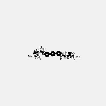 COC(=O)N(C)C1(C(=O)NC(c2nc3ccc(-c4ccc(-c5ccc6nc([C@H](C)NC(=O)C7(N(C)C(=O)OC)CC7)[nH]c6c5)cc4)cc3[nH]2)C(C)(C)C)CC1